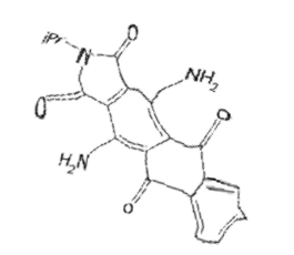 CC(C)n1c(=O)c2c(N)c3c(=O)c4ccccc4c(=O)c3c(N)c2c1=O